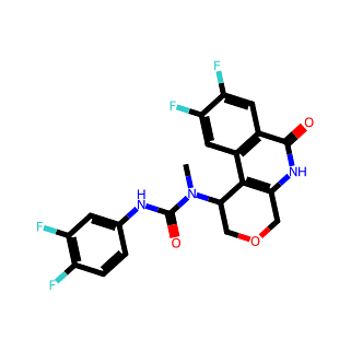 CN(C(=O)Nc1ccc(F)c(F)c1)C1COCc2[nH]c(=O)c3cc(F)c(F)cc3c21